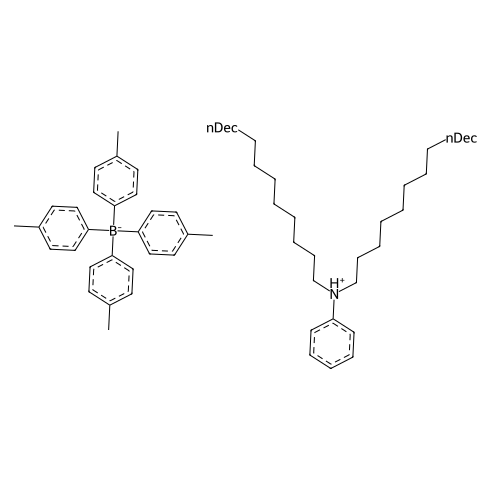 CCCCCCCCCCCCCCCCCC[NH+](CCCCCCCCCCCCCCCCCC)c1ccccc1.Cc1ccc([B-](c2ccc(C)cc2)(c2ccc(C)cc2)c2ccc(C)cc2)cc1